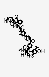 CCNC(=O)c1nnc(-c2cc(C(C)C)c(O)cc2O)n1-c1ccc(C(=O)N2CCN(c3cc(C)c(OC(=O)Nc4cccc5c4C(=O)N(C4CCC(=O)NC4=O)C5=O)c(C)c3)CC2)cc1